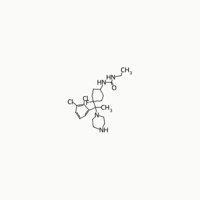 CCNC(=O)NC1CCC(F)(C(C)(c2cccc(Cl)c2Cl)N2CCNCC2)CC1